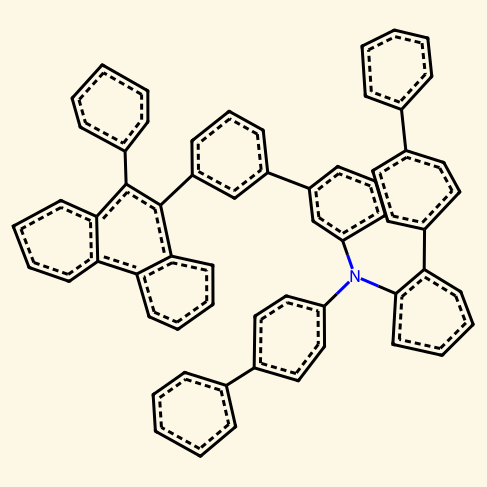 c1ccc(-c2ccc(-c3ccccc3N(c3ccc(-c4ccccc4)cc3)c3cccc(-c4cccc(-c5c(-c6ccccc6)c6ccccc6c6ccccc56)c4)c3)cc2)cc1